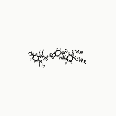 COc1ccc(NC(=O)N2CCc3nc(C(=O)Nc4cc(Cl)ccc4N)sc3C2)cc1OC